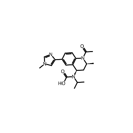 CC(=O)N1c2ccc(-c3cn(C)cn3)cc2[C@H](N(C(=O)O)C(C)C)C[C@@H]1C